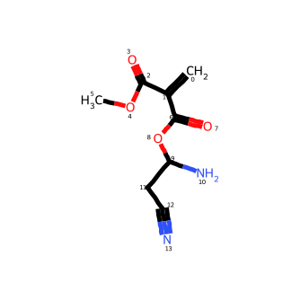 C=C(C(=O)OC)C(=O)OC(N)CC#N